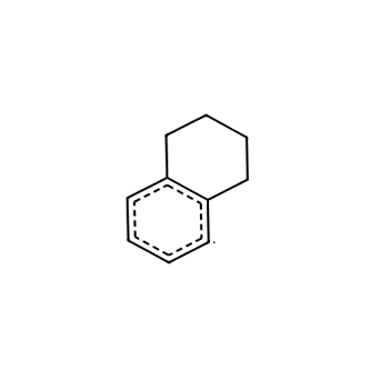 [c]1cccc2c1CCCC2